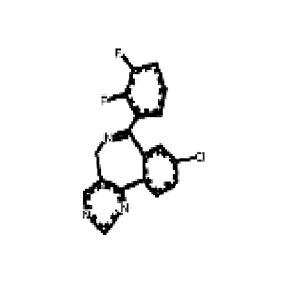 Fc1cccc(C2=NCc3cncnc3-c3ccc(Cl)cc32)c1F